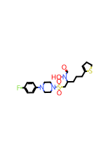 O=CN(O)C(CCCC1=CCCS1)CS(=O)(=O)N1CCN(c2ccc(F)cc2)CC1